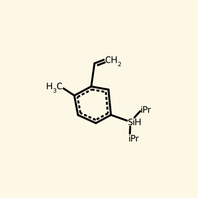 C=Cc1cc([SiH](C(C)C)C(C)C)ccc1C